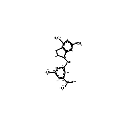 Cc1cc(C)c2c(c1)C(Nc1nc(N)nc([C@H](C)F)n1)CC2